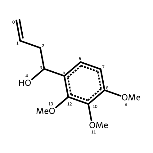 C=CCC(O)c1ccc(OC)c(OC)c1OC